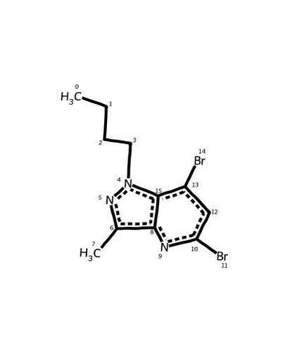 CCCCn1nc(C)c2nc(Br)cc(Br)c21